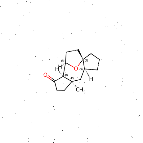 C[C@]12CCC(=O)[C@H]1[C@H]1CC[C@]3(CCC[C@H]3C2)O1